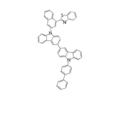 c1ccc(-c2ccc(-n3c4ccccc4c4cc(-c5ccc6c(c5)c5ccccc5n6-c5cc(-c6nc7ccccc7s6)c6ccccc6c5)ccc43)cc2)cc1